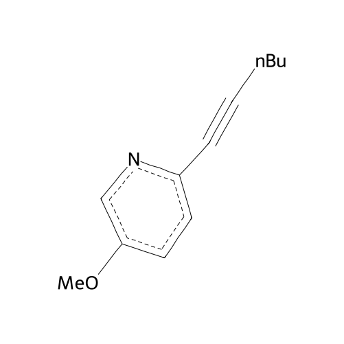 CCCCC#Cc1ccc(OC)cn1